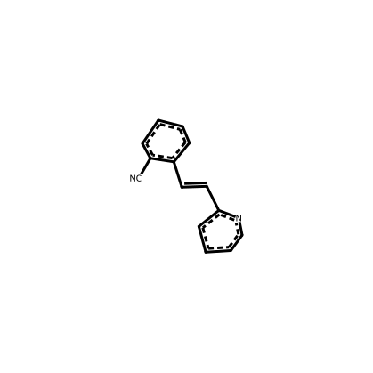 N#Cc1ccccc1C=Cc1ccccn1